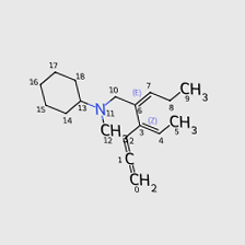 C=C=CC(=C/C)/C(=C\CC)CN(C)C1CCCCC1